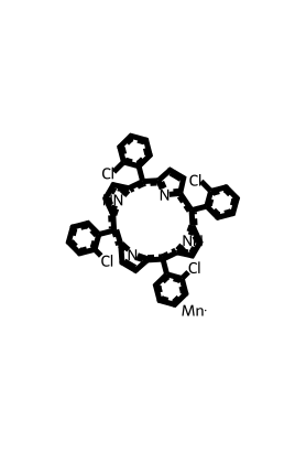 Clc1ccccc1-c1c2nc(c(-c3ccccc3Cl)c3ccc([nH]3)c(-c3ccccc3Cl)c3nc(c(-c4ccccc4Cl)c4ccc1[nH]4)C=C3)C=C2.[Mn]